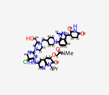 CNC(=O)COc1cc2cc(Nc3nc(N4CCN(CC5CCN(c6cccc7c(C8CCC(=O)NC8=O)nn(C)c67)CC5)[C@H](CO)C4)ncc3Cl)cnc2n(C(C)C)c1=O